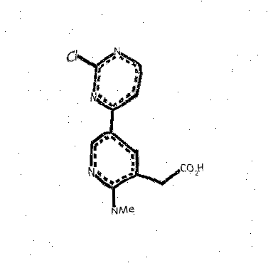 CNc1ncc(-c2ccnc(Cl)n2)cc1CC(=O)O